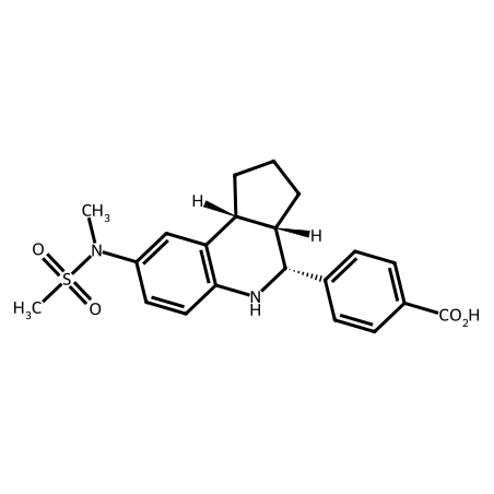 CN(c1ccc2c(c1)[C@@H]1CCC[C@@H]1[C@H](c1ccc(C(=O)O)cc1)N2)S(C)(=O)=O